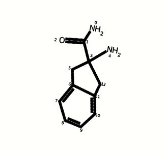 NC(=O)C1(N)Cc2ccccc2C1